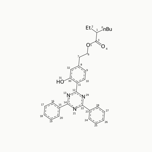 CCCCC(CC)C(=O)OCCc1ccc(-c2nc(-c3ccccc3)nc(-c3ccccc3)n2)c(O)c1